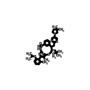 Cc1cccc(OC(C)C)c1-c1nc2nc(c1C)OC[C@@H](CC(C)(C)C)C(Cc1ncc(N3CCC(C)(C)C3)cn1)c1cccc(c1)S(=O)(=O)N2